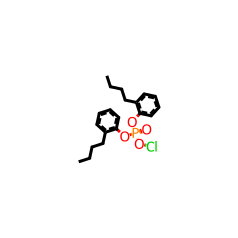 CCCCc1ccccc1OP(=O)(OCl)Oc1ccccc1CCCC